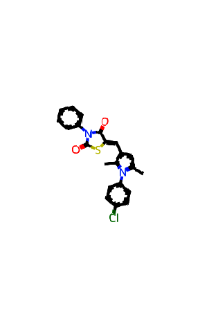 Cc1cc(C=C2SC(=O)N(c3ccccc3)C2=O)c(C)n1-c1ccc(Cl)cc1